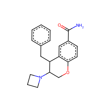 NC(=O)c1ccc2c(c1)C(Cc1ccccc1)C(N1CCC1)CO2